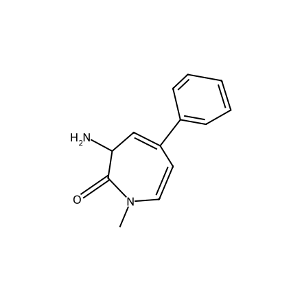 CN1C=CC(c2ccccc2)=CC(N)C1=O